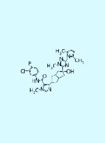 Cc1ccc(C)n1-c1nc(C2(O)CC3CC(c4ncn(C)c4C(=O)Nc4ccc(F)c(Cl)c4)CC3C2)n(C)n1